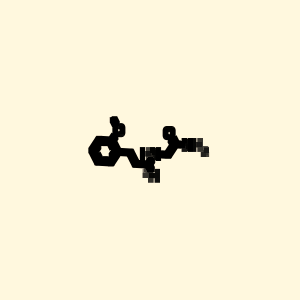 [2H]C(CCc1ccccc1OC)NCC(N)=O